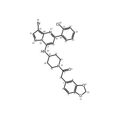 O=C(Cc1ccc2c(c1)OCO2)N1CCC(Nc2cc(-c3ccccc3Cl)nc3c(Br)cnn23)CC1